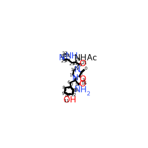 C=C1C(=O)N(C(Cc2ccc(O)cc2)C(N)=O)CCN1C(=O)C(Cc1cnc[nH]1)NC(C)=O